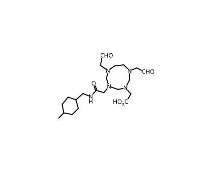 CC1CCC(CNC(=O)CN2CN(CC=O)CCN(CC=O)CN(CC(=O)O)C2)CC1